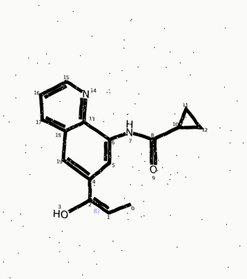 C/C=C(/O)c1cc(NC(=O)C2CC2)c2ncccc2c1